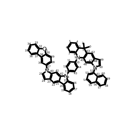 CC1(C)c2ccccc2N(c2ccc(-n3c4ccccc4c4cc5ccn(-c6ccc7oc8ccccc8c7c6)c5cc43)cc2)c2cc3c(ccn3-c3cccc4ccccc34)cc21